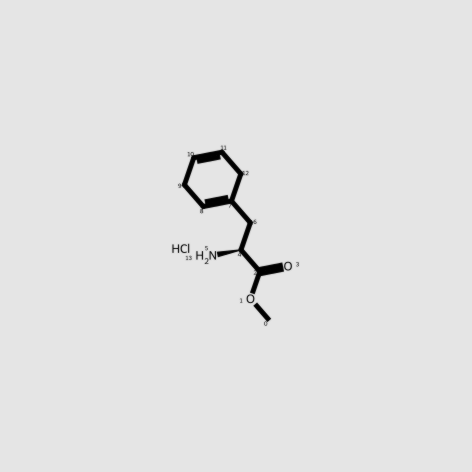 COC(=O)[C@@H](N)CC1=CCC=CC1.Cl